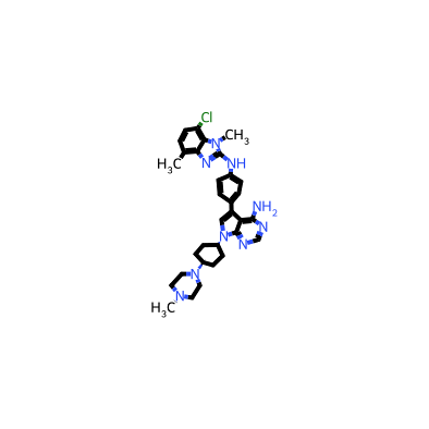 Cc1ccc(Cl)c2c1nc(Nc1ccc(-c3cn([C@H]4CC[C@H](N5CCN(C)CC5)CC4)c4ncnc(N)c34)cc1)n2C